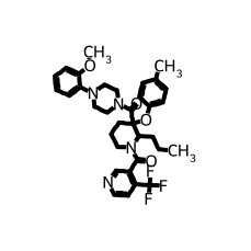 CCCC1N(C(=O)c2cnccc2C(F)(F)F)CCCC1(Oc1ccc(C)cc1)C(=O)N1CCN(c2ccccc2OC)CC1